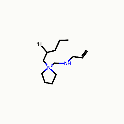 [2H]C(CCC)C[N+]1(CNCC=C)CCCC1